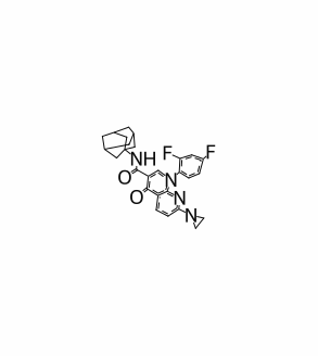 O=C(NC12CC3CC(CC(C3)C1)C2)c1cn(-c2ccc(F)cc2F)c2nc(N3CC3)ccc2c1=O